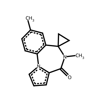 Cc1ccc2c(c1)C1(CC1)N(C)C(=O)c1cccn1-2